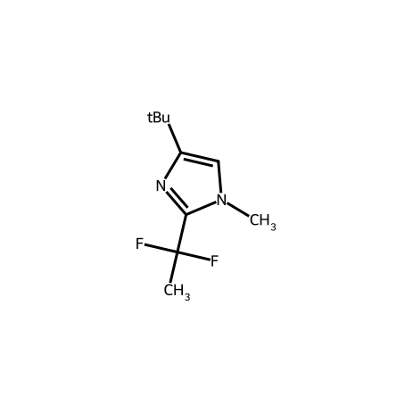 Cn1cc(C(C)(C)C)nc1C(C)(F)F